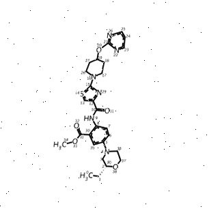 CC[C@@H]1CN(c2ccc(NC(=O)c3csc(N4CCC(Oc5ncccn5)CC4)n3)c(C(=O)OC)c2)CCO1